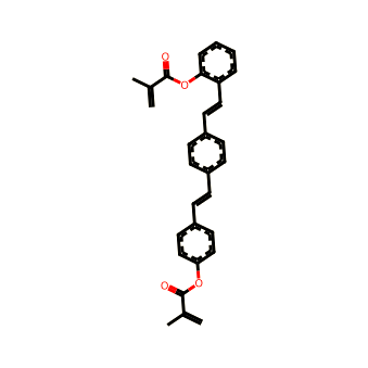 C=C(C)C(=O)Oc1ccc(/C=C/c2ccc(/C=C/c3ccccc3OC(=O)C(=C)C)cc2)cc1